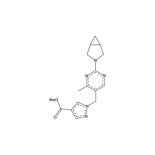 COC(=O)c1cnn(Cc2cnc(N3CC4CC4C3)nc2C)c1